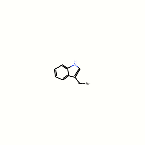 CC(=O)[CH]c1c[nH]c2ccccc12